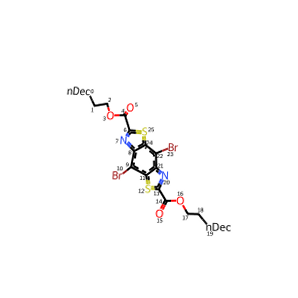 CCCCCCCCCCCCOC(=O)c1nc2c(Br)c3sc(C(=O)OCCCCCCCCCCCC)nc3c(Br)c2s1